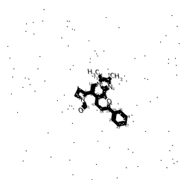 Cc1nc2c3c(c(C4CCN4C=O)cn2c1C)CCC(c1ccccc1)O3